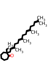 CCC1(C/C=C(\C)CC/C=C(\C)CC/C=C(\C)CCC=C(C)C)CCCCCC1=O